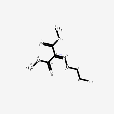 COC(=N)/C(=N/OCCF)C(=O)OC